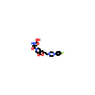 CC(C)(NC(=O)O)C(=O)N1CCC2(CC1)C[C@H](CCN1CCN(c3ccc(F)cc3)CC1)OC2=O